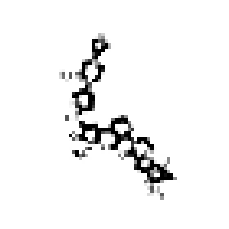 C[C@H]1c2cc3n(c2[C@@H]2CC12)CCN(c1nccc(-c2cc(Nc4ccc(N5CCN(C6COC6)C[C@@H]5C)cn4)c(=O)n(C)c2)c1C=O)C3=O